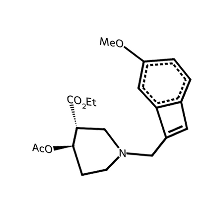 CCOC(=O)[C@@H]1CN(CC2=Cc3ccc(OC)cc32)CC[C@H]1OC(C)=O